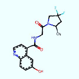 N#CC1CC(F)(F)CN1C(=O)CNC(=O)c1ccnc2ccc(O)cc12